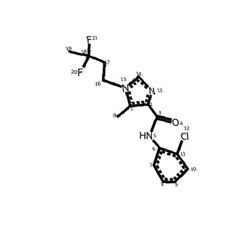 Cc1c(C(=O)Nc2ccccc2Cl)ncn1CCC(C)(F)F